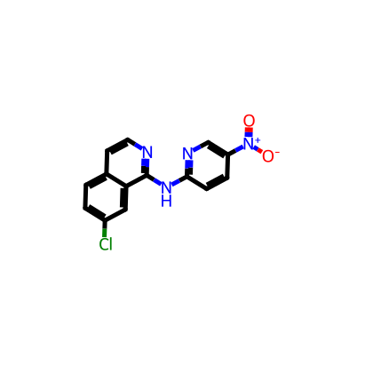 O=[N+]([O-])c1ccc(Nc2nccc3ccc(Cl)cc23)nc1